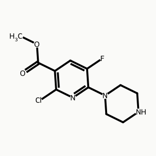 COC(=O)c1cc(F)c(N2CCNCC2)nc1Cl